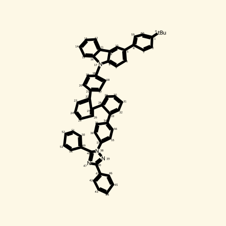 CC(C)(C)c1ccc(-c2ccc3c(c2)c2ccccc2n3-c2ccc(-c3ccccc3-c3ccccc3-c3ccc(-n4nc(-c5ccccc5)nc4-c4ccccc4)cc3)cc2)cc1